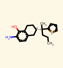 CCCC(C)(c1cccs1)[C@H]1CCc2c(ccc(N)c2O)C1